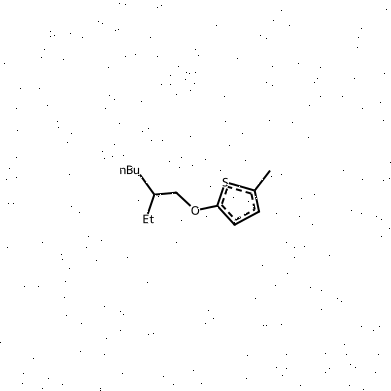 CCCCC(CC)COc1ccc(C)s1